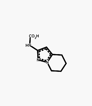 O=C(O)Nc1cc2n(n1)CCCC2